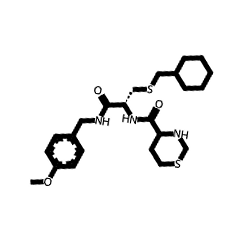 COc1ccc(CNC(=O)[C@H](CSCC2CCCCC2)NC(=O)C2CCSCN2)cc1